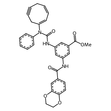 COC(=O)c1cc(NC(=O)c2ccc3c(c2)OCCO3)cc(NC(=O)N(/C2=C/C=C\CC#CC2)c2ccccc2)c1